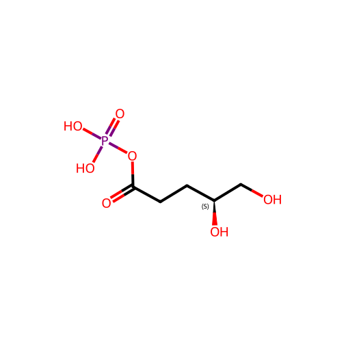 O=C(CC[C@H](O)CO)OP(=O)(O)O